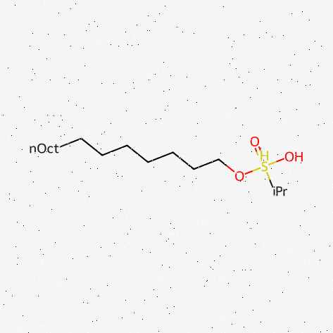 CCCCCCCCCCCCCCCO[SH](=O)(O)C(C)C